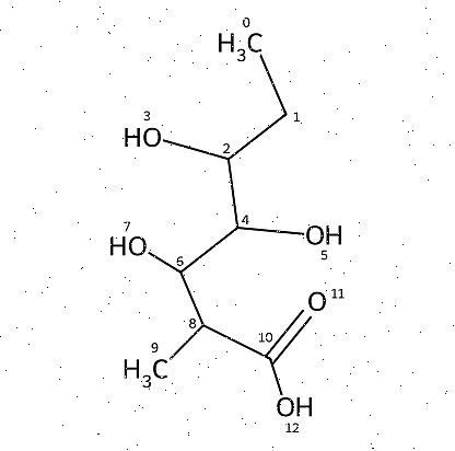 CCC(O)C(O)C(O)C(C)C(=O)O